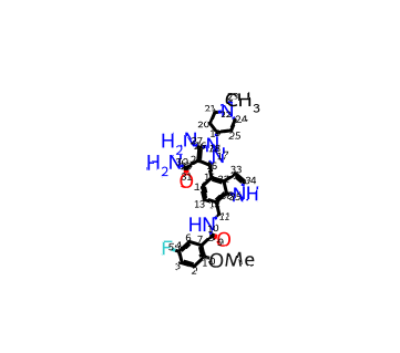 COc1ccc(F)cc1C(=O)NCc1ccc(-c2nn(C3CCN(C)CC3)c(N)c2C(N)=O)c2cc[nH]c12